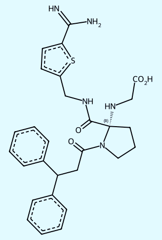 N=C(N)c1ccc(CNC(=O)[C@@]2(NCC(=O)O)CCCN2C(=O)CC(c2ccccc2)c2ccccc2)s1